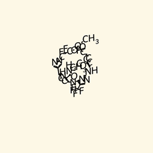 CCOP1(=O)Cc2ccc(c(OC)c2)Nc2ncc(C(F)(F)F)c(n2)Nc2ccc(nc2C(=O)NC)-c2cnn(c2)CC(F)(F)CO1